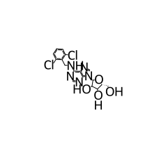 OC[C@H]1O[C@@H](n2cnc3c(NCc4c(Cl)cccc4Cl)ncnc32)[C@H](O)[C@@H]1O